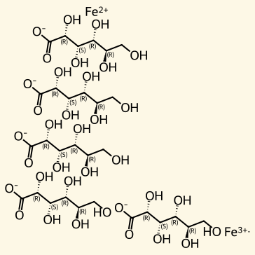 O=C([O-])[C@H](O)[C@@H](O)[C@H](O)[C@H](O)CO.O=C([O-])[C@H](O)[C@@H](O)[C@H](O)[C@H](O)CO.O=C([O-])[C@H](O)[C@@H](O)[C@H](O)[C@H](O)CO.O=C([O-])[C@H](O)[C@@H](O)[C@H](O)[C@H](O)CO.O=C([O-])[C@H](O)[C@@H](O)[C@H](O)[C@H](O)CO.[Fe+2].[Fe+3]